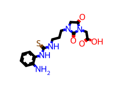 Nc1ccccc1NC(=S)NCCCN1CC(=O)N(CC(=O)O)C1=O